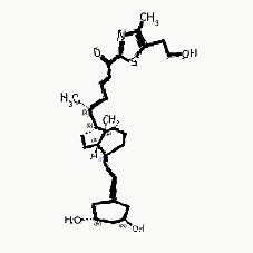 Cc1nc(C(=O)CCC[C@@H](C)[C@H]2CC[C@H]3/C(=C/C=C4C[C@@H](O)C[C@H](O)C4)CCC[C@]23C)sc1CCO